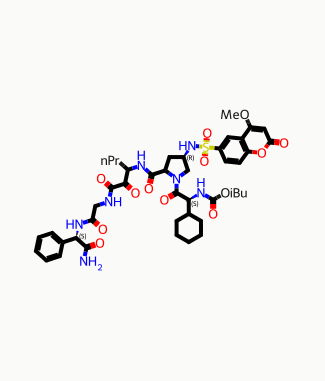 CCCC(NC(=O)C1C[C@@H](NS(=O)(=O)c2ccc3oc(=O)cc(OC)c3c2)CN1C(=O)[C@@H](NC(=O)OCC(C)C)C1CCCCC1)C(=O)C(=O)NCC(=O)N[C@H](C(N)=O)c1ccccc1